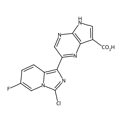 O=C(O)c1c[nH]c2ncc(-c3nc(Cl)n4cc(F)ccc34)nc12